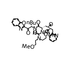 CCCC[C@H](NC(=O)[C@H](CS(=O)(=O)Cc1ccccn1)NC(=O)N(CCOC)CCOC)C(=O)c1nc2ccccc2o1